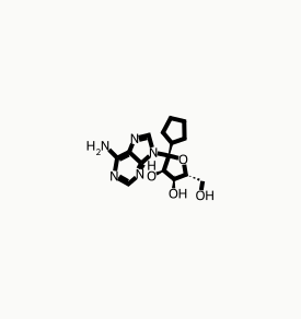 Nc1ncnc2c1ncn2[C@]1(C2CCCC2)O[C@H](CO)[C@@H](O)[C@H]1O